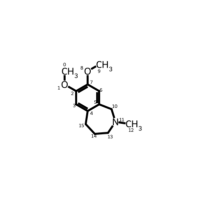 COc1cc2c(cc1OC)CN(C)CCC2